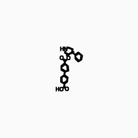 O=C(O)c1ccc(-c2ccc(C(=O)O[C@@H]3CNCC[C@H]3c3ccccc3)cc2)cc1